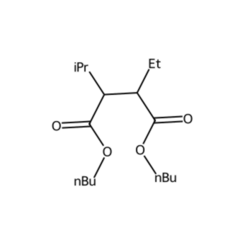 CCCCOC(=O)C(CC)C(C(=O)OCCCC)C(C)C